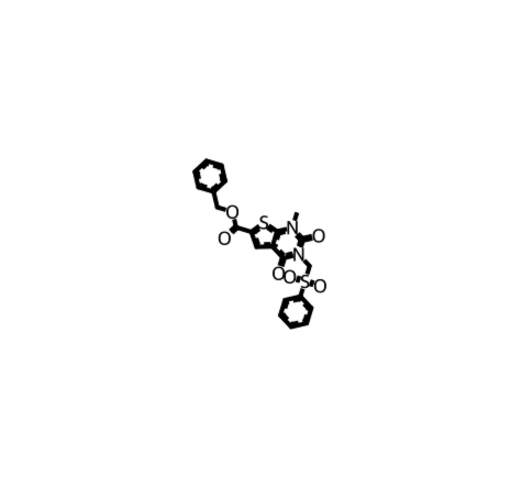 Cn1c(=O)n(CS(=O)(=O)c2ccccc2)c(=O)c2cc(C(=O)OCc3ccccc3)sc21